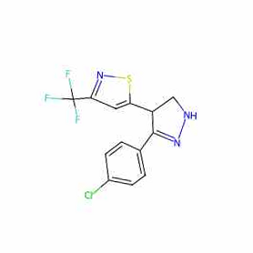 FC(F)(F)c1cc(C2CNN=C2c2ccc(Cl)cc2)sn1